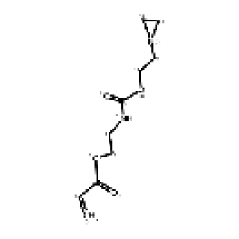 C=CC(=O)OCCNC(=O)OCCN1CC1